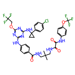 CC(C)(CNC(=O)C(=O)Nc1ccc(OC(F)(F)F)cc1)CNC(=O)c1ccc(Nc2nc(NC3(c4ccc(Cl)cc4)CC3)nc(OCC(F)(F)F)n2)cc1